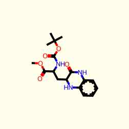 COC(=O)C(CC1Nc2ccccc2NC1=O)NC(=O)OC(C)(C)C